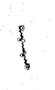 O=C(CCCCC1CCSS1)OCCCCCOC(=O)CCCCC1CCSS1